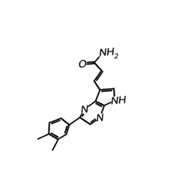 Cc1ccc(-c2cnc3[nH]cc(/C=C/C(N)=O)c3n2)cc1C